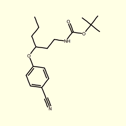 CCCC(CCNC(=O)OC(C)(C)C)Oc1ccc(C#N)cc1